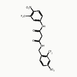 O=C(CC(=O)Nc1ccc([N+](=O)[O-])c(C(F)(F)F)c1)NCc1ccc([N+](=O)[O-])cc1C(F)(F)F